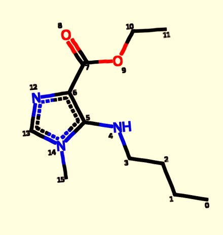 CCCCNc1c(C(=O)OCC)ncn1C